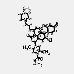 C=CC(=O)N1C[C@H](C)N(c2nc(=O)n3c4c(c(-c5ccc(F)cc5F)c(Cl)cc24)OC=C3CCCN2CCN(C)CC2)C[C@H]1C